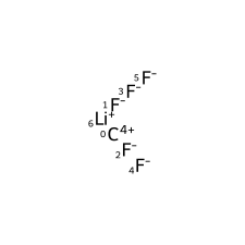 [C+4].[F-].[F-].[F-].[F-].[F-].[Li+]